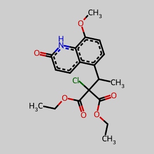 CCOC(=O)C(Cl)(C(=O)OCC)C(C)c1ccc(OC)c2[nH]c(=O)ccc12